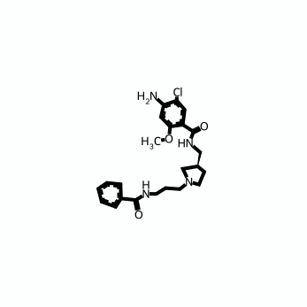 COc1cc(N)c(Cl)cc1C(=O)NC[C@H]1CCN(CCCNC(=O)c2ccccc2)C1